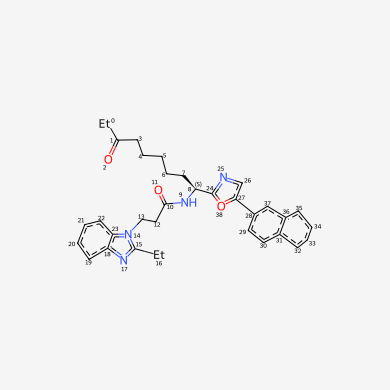 CCC(=O)CCCCC[C@H](NC(=O)CCn1c(CC)nc2ccccc21)c1ncc(-c2ccc3ccccc3c2)o1